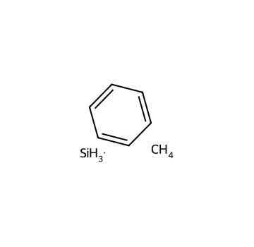 C.[SiH3].c1ccccc1